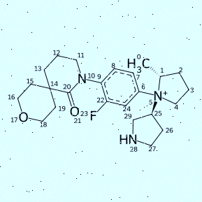 C[C@@H]1CCC[N+]1(c1ccc(N2CCCC3(CCOCC3)C2=O)c(F)c1)[C@H]1CCNC1